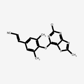 Cc1nc2nc(Cl)nc(Oc3c(C)cc(C=CC#N)cc3C)c2s1